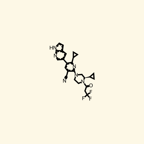 N#Cc1cc(-c2cnc3[nH]ccc3c2)c(C2CC2)nc1N1CCN(C(=O)CC(F)(F)F)[C@H](C2CC2)C1